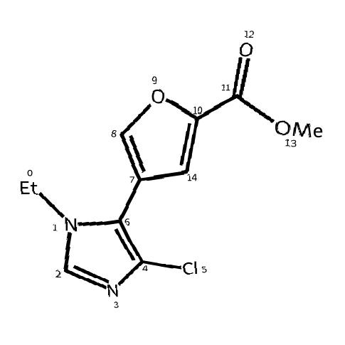 CCn1cnc(Cl)c1-c1coc(C(=O)OC)c1